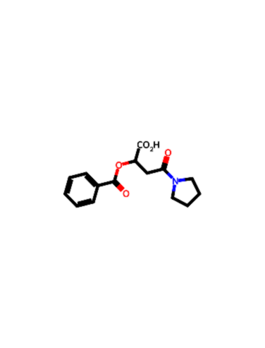 O=C(OC(CC(=O)N1CCCC1)C(=O)O)c1ccccc1